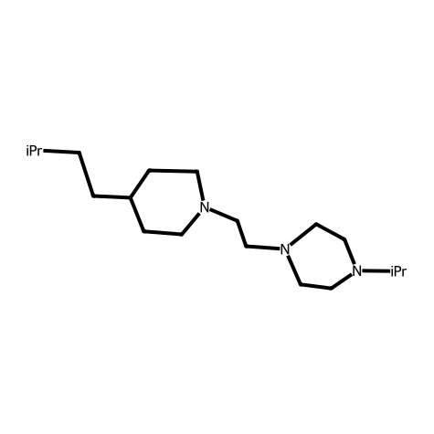 CC(C)CCC1CCN(CCN2CCN(C(C)C)CC2)CC1